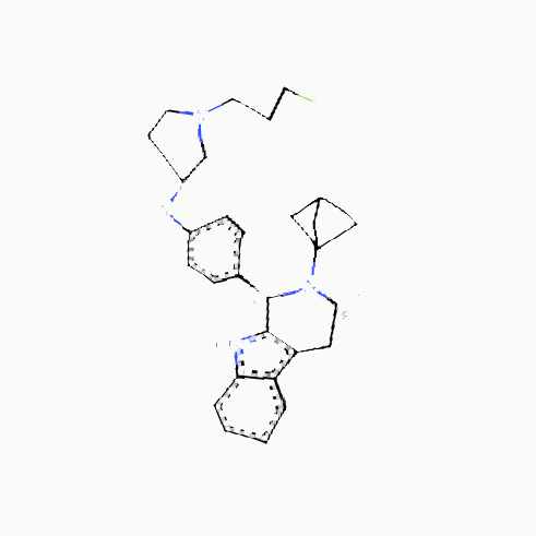 C[C@@H]1Cc2c([nH]c3ccccc23)[C@@H](c2ccc(N[C@H]3CCN(CCCF)C3)cc2)N1C12CC(C1)C2